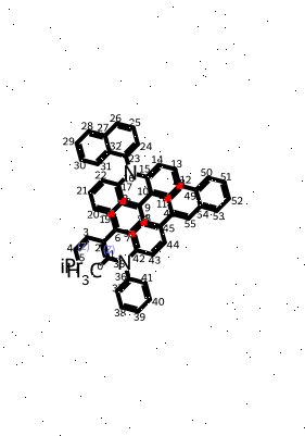 C/C(=C(\C=C/C(C)C)c1ccc(-c2ccccc2N(c2ccccc2)c2cccc3ccccc23)cc1)N(c1ccccc1)c1ccc(-c2ccc3ccccc3c2)cc1